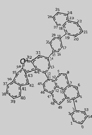 c1ccc(-c2ccc3ccc4c(-c5cc(-c6ccc(-c7cccc8ccccc78)cc6)cc6oc7cc8ccccc8cc7c56)ccc5ccc2c3c54)cc1